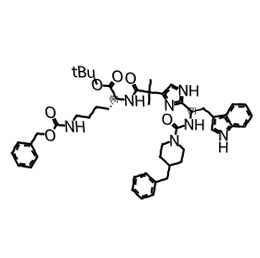 CC(C)(C)OC(=O)[C@@H](CCCCNC(=O)OCc1ccccc1)NC(=O)C(C)(C)c1c[nH]c([C@@H](Cc2c[nH]c3ccccc23)NC(=O)N2CCC(Cc3ccccc3)CC2)n1